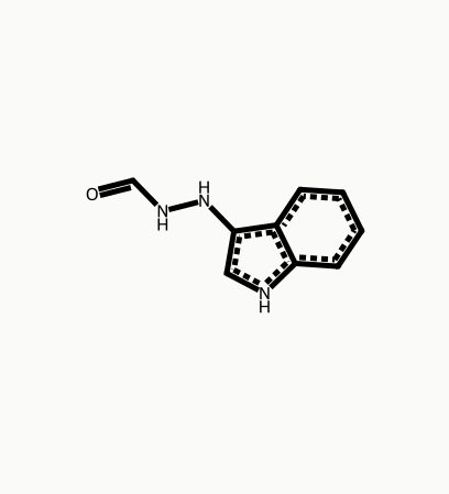 O=CNNc1c[nH]c2ccccc12